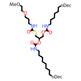 CCCCCCCCCCCCCCCCCCNC(=O)OC(COC(=O)NCCCCCCCCCCCCCCCC)CSC(=O)NCCCOCCOC